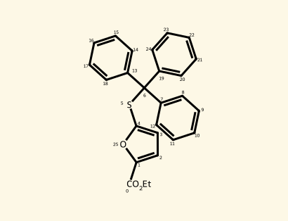 CCOC(=O)c1ccc(SC(c2ccccc2)(c2ccccc2)c2ccccc2)o1